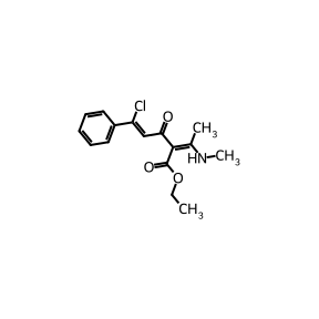 CCOC(=O)/C(C(=O)C=C(Cl)c1ccccc1)=C(/C)NC